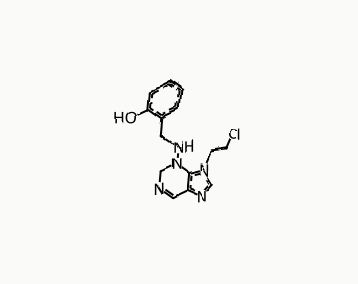 Oc1ccccc1CNN1CN=Cc2ncn(CCCl)c21